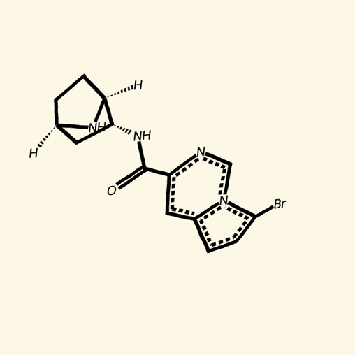 O=C(N[C@@H]1C[C@H]2CC[C@@H]1N2)c1cc2ccc(Br)n2cn1